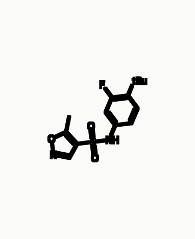 Cc1oncc1S(=O)(=O)Nc1ccc(C(C)(C)C)c(F)c1